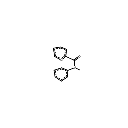 CN(C(=O)c1ccccn1)c1ccccc1